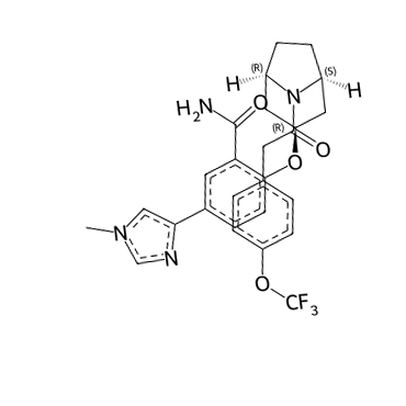 Cn1cnc(-c2ccc(O[C@H]3C[C@H]4CC[C@@H](C3)N4C(=O)Cc3ccc(OC(F)(F)F)cc3)c(C(N)=O)c2)c1